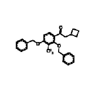 O=C(CC1CCC1)c1ccc(OCc2ccccc2)c(C(F)(F)F)c1OCc1ccccc1